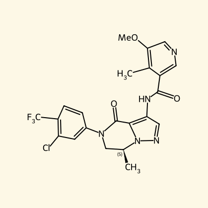 COc1cncc(C(=O)Nc2cnn3c2C(=O)N(c2ccc(C(F)(F)F)c(Cl)c2)C[C@@H]3C)c1C